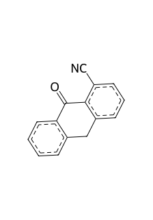 N#Cc1cccc2c1C(=O)c1ccccc1C2